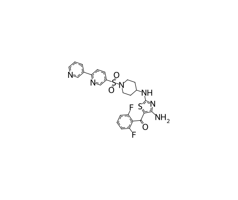 Nc1nc(NC2CCN(S(=O)(=O)c3ccc(-c4cccnc4)nc3)CC2)sc1C(=O)c1c(F)cccc1F